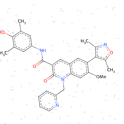 COc1cc2c(cc1-c1c(C)noc1C)cc(C(=O)Nc1cc(C)c(O)c(C)c1)c(=O)n2Cc1ccccn1